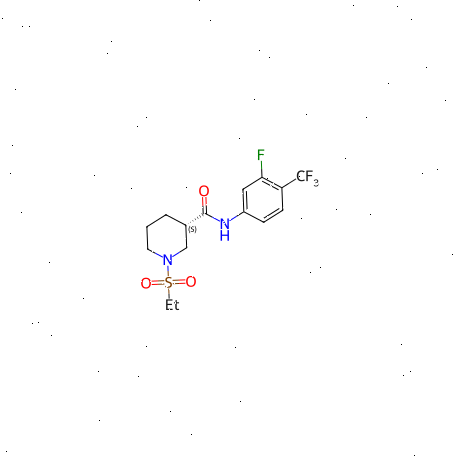 CCS(=O)(=O)N1CCC[C@H](C(=O)Nc2ccc(C(F)(F)F)c(F)c2)C1